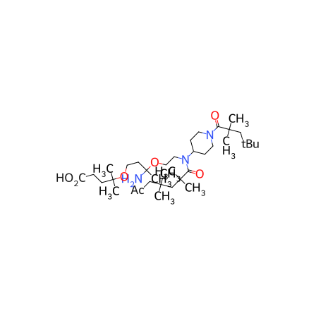 CC(=O)CC(C)(C)CC(C)(C)C(=O)N(CCOC(C)(N)CCOC(C)(C)CCC(=O)O)C1CCN(C(=O)C(C)(C)CC(C)(C)C)CC1